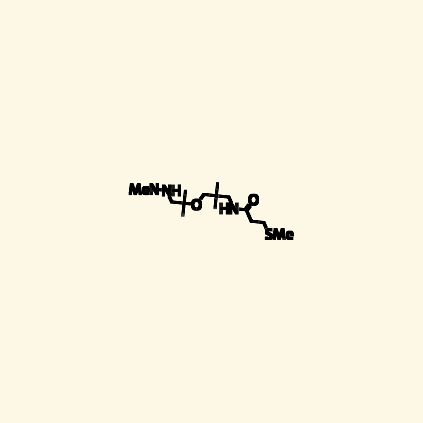 CNNCC(C)(C)OCC(C)(C)CNC(=O)CCSC